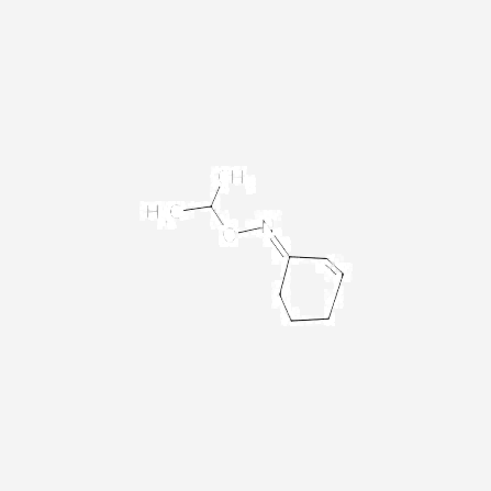 CC(C)O/N=C1/C=CCCC1